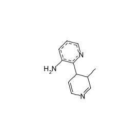 CC1C=NC=CC1c1ncccc1N